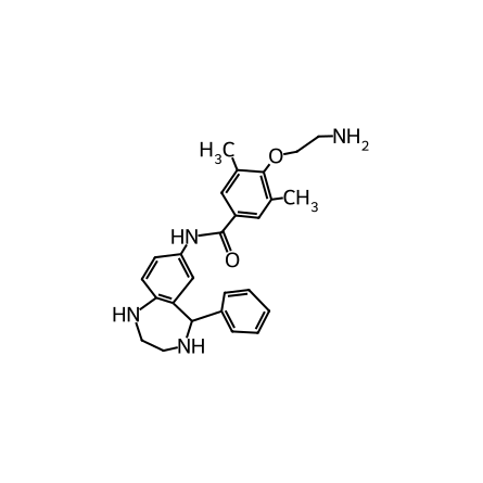 Cc1cc(C(=O)Nc2ccc3c(c2)C(c2ccccc2)NCCN3)cc(C)c1OCCN